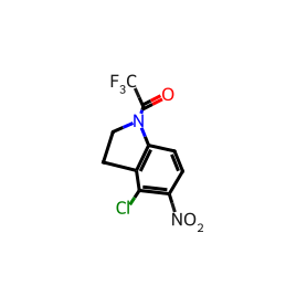 O=C(N1CCc2c1ccc([N+](=O)[O-])c2Cl)C(F)(F)F